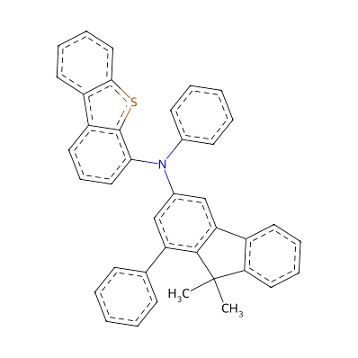 CC1(C)c2ccccc2-c2cc(N(c3ccccc3)c3cccc4c3sc3ccccc34)cc(-c3ccccc3)c21